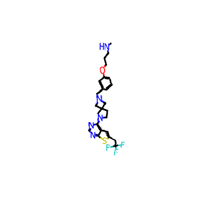 CNCCCOc1cccc(CN2CC3(CCN(c4ncnc5sc(CC(F)(F)F)cc45)C3)C2)c1